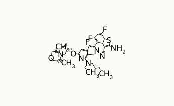 CCCCN(CC)c1nc(OCC2(CN3[C@@H](C)COC[C@@H]3C)CC2)cc2c(F)c(C3=C(F)C=C(F)C4SC(N)=C(C#N)C34)ncc12